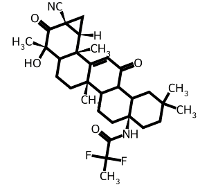 CC1(C)CC[C@]2(NC(=O)C(C)(F)F)CCC3C(C(=O)C=C4[C@@]3(C)CCC3[C@](C)(O)C(=O)[C@]5(C#N)C[C@@H]5[C@]43C)C2C1